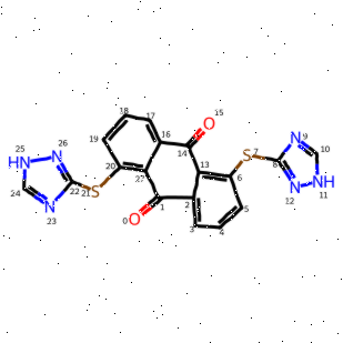 O=C1c2cccc(Sc3nc[nH]n3)c2C(=O)c2cccc(Sc3nc[nH]n3)c21